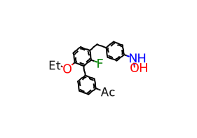 CCOc1ccc(Cc2ccc(NO)cc2)c(F)c1-c1cccc(C(C)=O)c1